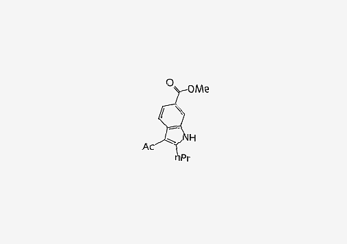 CCCc1[nH]c2cc(C(=O)OC)ccc2c1C(C)=O